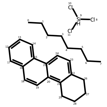 CCCCCCCC.Cl[SiH](Cl)Cl.c1ccc2c(c1)ccc1c3c(ccc12)CCCC3